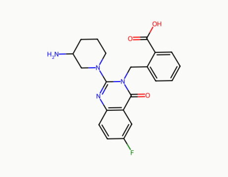 NC1CCCN(c2nc3ccc(F)cc3c(=O)n2Cc2ccccc2C(=O)O)C1